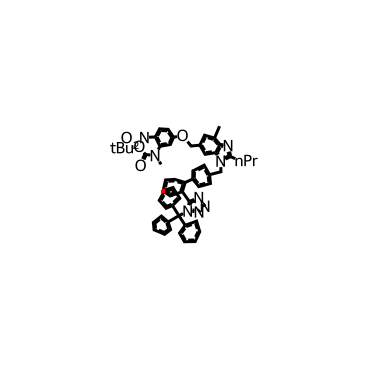 CCCc1nc2c(C)cc(COc3ccc([N+](=O)[O-])c(N(C)C(=O)OC(C)(C)C)c3)cc2n1Cc1ccc(-c2ccccc2-c2nnnn2C(c2ccccc2)(c2ccccc2)c2ccccc2)cc1